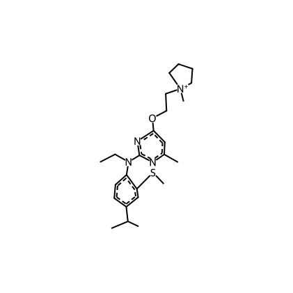 CCN(c1nc(C)cc(OCC[N+]2(C)CCCC2)n1)c1ccc(C(C)C)cc1SC